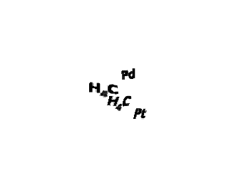 C.C.[Pd].[Pt]